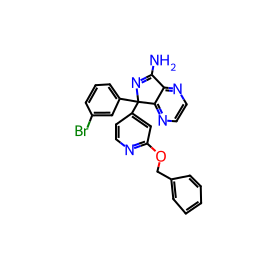 NC1=NC(c2cccc(Br)c2)(c2ccnc(OCc3ccccc3)c2)c2nccnc21